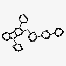 C1=CCC(c2cc3c4ccccc4n(-c4ccccc4)c3cc2Nc2cccc(-c3ncc(-c4ccccc4)cn3)c2)C=C1